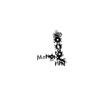 CN[C@H]1C[C@H](n2cc(-c3ccn[nH]3)c3ccc(N4CCN(c5ccc(S(C)(=O)=O)cc5)CC4)nc32)C1